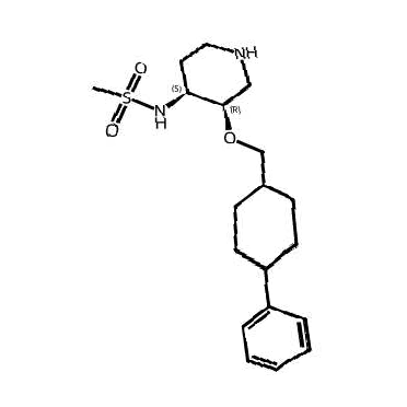 CS(=O)(=O)N[C@H]1CCNC[C@H]1OCC1CCC(c2ccccc2)CC1